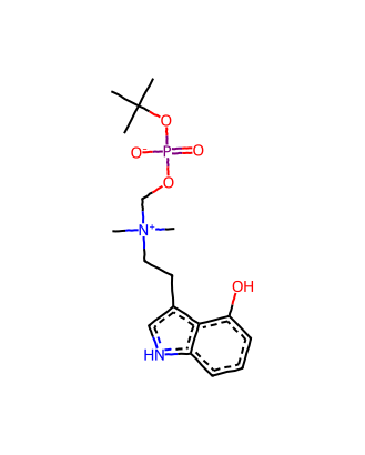 CC(C)(C)OP(=O)([O-])OC[N+](C)(C)CCc1c[nH]c2cccc(O)c12